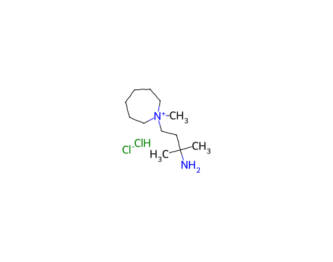 CC(C)(N)CC[N+]1(C)CCCCCC1.Cl.[Cl-]